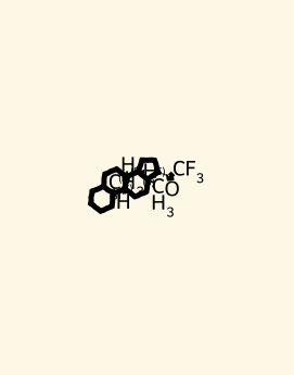 C[C@]12CC[C@H]3[C@@H](CCC4CCCC[C@@]43C)[C@@H]1CC[C@@H]2C(=O)C(F)(F)F